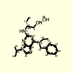 CC[C@H](CO)Nc1nc(N(CC)Cc2ccccc2)c2ncn(C(C)C)c2n1.Cl